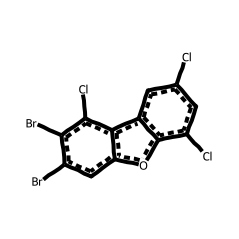 Clc1cc(Cl)c2oc3cc(Br)c(Br)c(Cl)c3c2c1